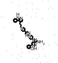 Nc1nn(C2CCN(c3ncc(C4=CCN(CCCc5ccnc6[nH]c7ccccc7c56)CC4)cn3)CC2)c2cc(-c3ccccc3O)nnc12